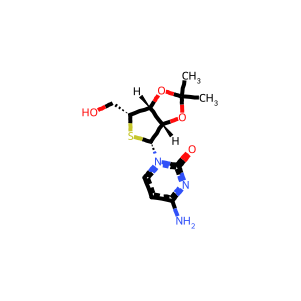 CC1(C)O[C@@H]2[C@H](O1)[C@H](n1ccc(N)nc1=O)S[C@@H]2CO